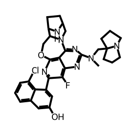 CN(CC12CCCN1CCC2)c1nc2c3c(nc(-c4cc(O)cc5cccc(Cl)c45)c(F)c3n1)OCC1C3CCC(CN21)N3